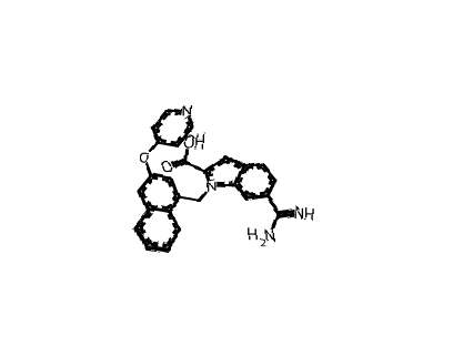 N=C(N)c1ccc2cc(C(=O)O)n(Cc3cc(Oc4ccncc4)cc4ccccc34)c2c1